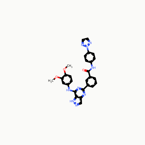 COc1ccc(Nc2nc(-c3cccc(C(=O)Nc4ccc(-n5nccn5)cc4)c3)nc3cn[nH]c23)cc1OC